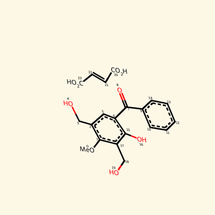 COc1c(CO)cc(C(=O)c2ccccc2)c(O)c1CO.O=C(O)C=CC(=O)O